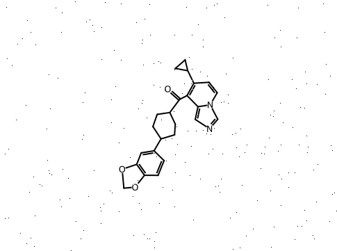 O=C(c1c(C2CC2)ccn2cncc12)C1CCC(c2ccc3c(c2)OCO3)CC1